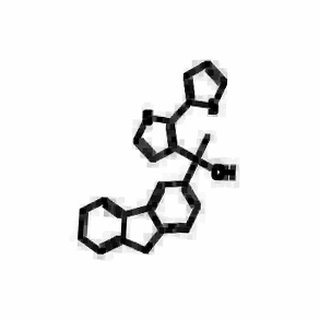 CC(O)(c1ccc2c(c1)-c1ccccc1C2)c1ccsc1-c1cccs1